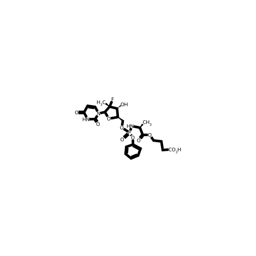 C[C@H](NP(=O)(OC[C@H]1OC(n2ccc(=O)[nH]c2=O)[C@](C)(F)[C@@H]1O)Oc1ccccc1)C(=O)OCCCC(=O)O